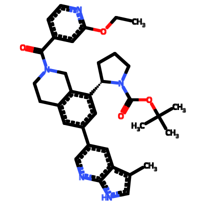 CCOc1cc(C(=O)N2CCc3cc(-c4cnc5[nH]cc(C)c5c4)cc([C@@H]4CCCN4C(=O)OC(C)(C)C)c3C2)ccn1